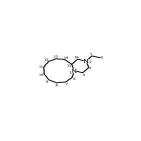 CCN1CCN2CCCCCCCCCC2C1